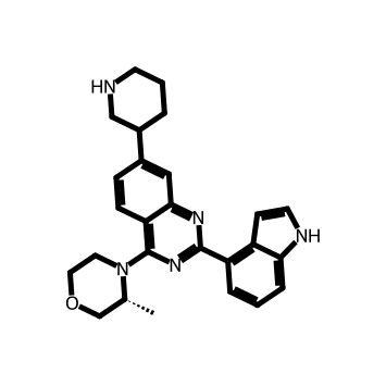 C[C@@H]1COCCN1c1nc(-c2cccc3[nH]ccc23)nc2cc(C3CCCNC3)ccc12